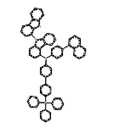 c1ccc([Si](c2ccccc2)(c2ccccc2)c2ccc(-c3ccc(N(c4ccc(-c5cccc6ccccc56)cc4)c4cccc5c4c4ccccc4n5-c4cccc5c4sc4ccccc45)cc3)cc2)cc1